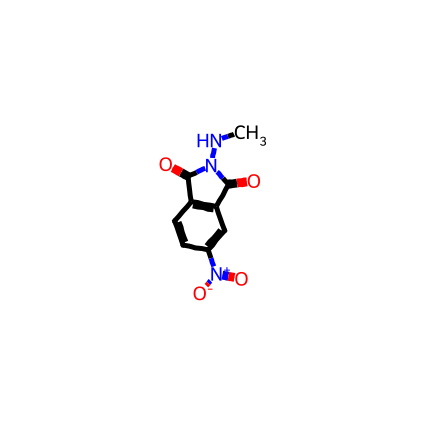 CNN1C(=O)c2ccc([N+](=O)[O-])cc2C1=O